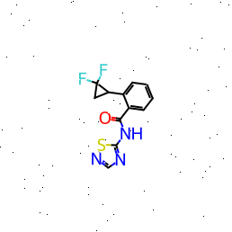 O=C(Nc1ncns1)c1ccccc1C1CC1(F)F